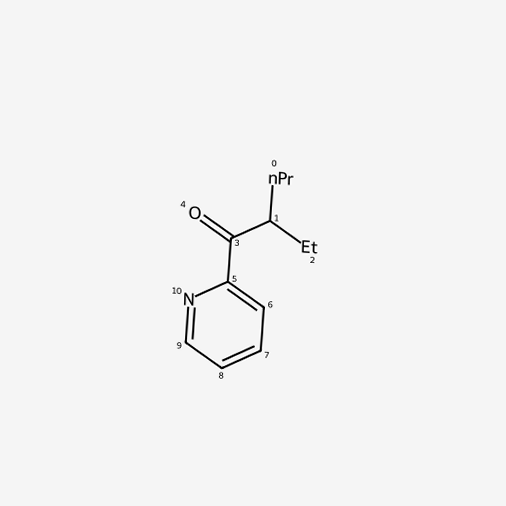 CCCC(CC)C(=O)c1ccccn1